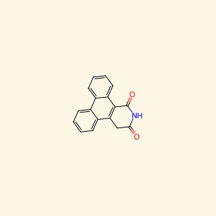 O=C1Cc2c(c3ccccc3c3ccccc23)C(=O)N1